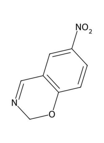 O=[N+]([O-])c1ccc2c(c1)C=NCO2